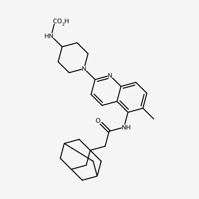 Cc1ccc2nc(N3CCC(NC(=O)O)CC3)ccc2c1NC(=O)CC12CC3CC(CC(C3)C1)C2